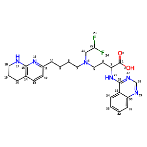 O=C(O)C(CCN(CCCCc1ccc2c(n1)NCCC2)CC(F)F)Nc1ncnc2ccccc12